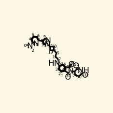 CN(C)c1cccc(-c2cnn(C3CC(CCCNc4ccc5c(c4)C(=O)N(C4CCC(=O)NC4=O)C5=O)C3)c2)n1